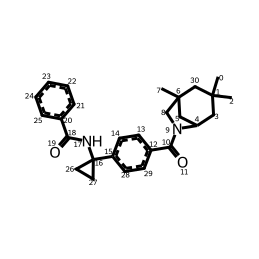 CC1(C)CC2CC(C)(CN2C(=O)c2ccc(C3(NC(=O)c4ccccc4)CC3)cc2)C1